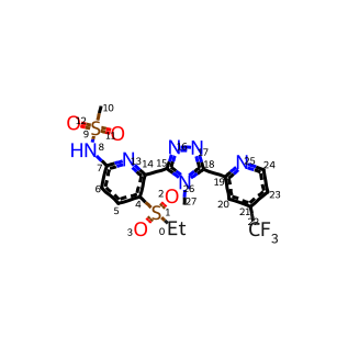 CCS(=O)(=O)c1ccc(NS(C)(=O)=O)nc1-c1nnc(-c2cc(C(F)(F)F)ccn2)n1C